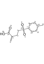 C=C(CCS(=O)(=O)c1ccc(C)cc1)C(=O)O